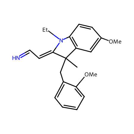 CCN1/C(=C\C=N)C(C)(Cc2ccccc2OC)c2cc(OC)ccc21